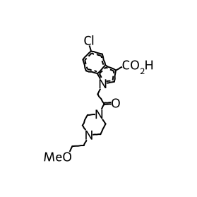 COCCN1CCN(C(=O)Cn2cc(C(=O)O)c3cc(Cl)ccc32)CC1